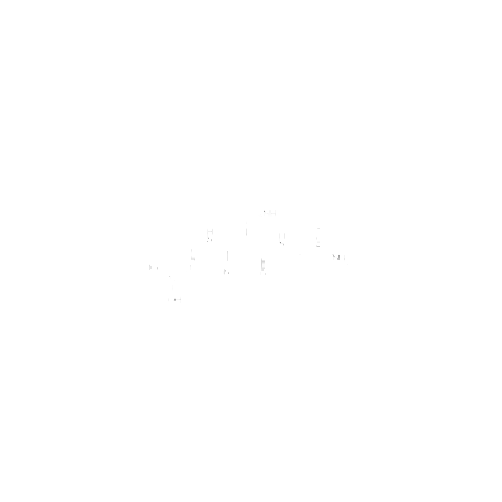 N=C/C(C(=O)NCC(N)=O)=C1/N=CC(B(O)O)=CN1